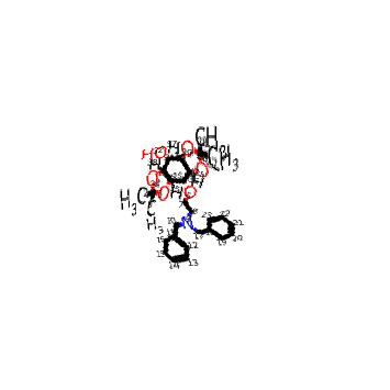 CC1(C)O[C@@H]2[C@@H](OCCN(Cc3ccccc3)Cc3ccccc3)[C@@H]3OC(C)(C)O[C@H]3[C@H](O)[C@H]2O1